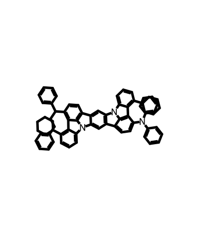 c1ccc(CCC(c2ccccc2)c2ccc3c4cc5c(cc4n4c6cccc(C7CCCCC7)c6c2c34)c2ccc(N(c3ccccc3)c3ccccc3)c3c4c(C6CCCCC6)cccc4n5c23)cc1